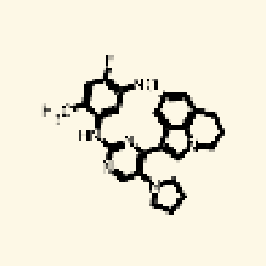 Cc1cc(F)c([N+](=O)[O-])cc1Nc1ncc(N2CCCC2)c(-c2cn3c4c(cccc24)CCC3)n1